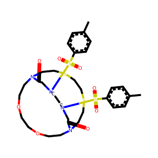 Cc1ccc(S(=O)(=O)N2CCN(S(=O)(=O)c3ccc(C)cc3)CC(=O)N3CCOCCOCCN(CCSCCSCC3)C(=O)C2)cc1